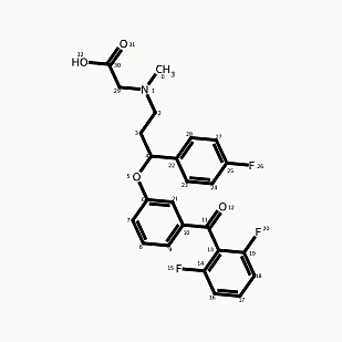 CN(CCC(Oc1cccc(C(=O)c2c(F)cccc2F)c1)c1ccc(F)cc1)CC(=O)O